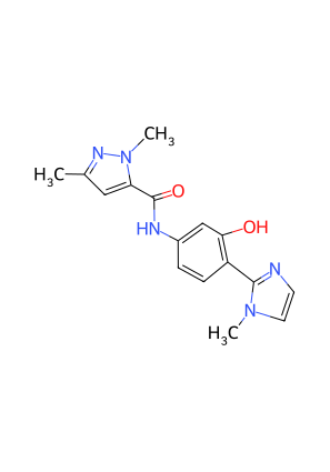 Cc1cc(C(=O)Nc2ccc(-c3nccn3C)c(O)c2)n(C)n1